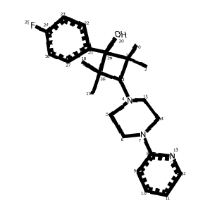 CC1(C)C(N2CCN(c3ccccn3)CC2)C(C)(C)C1(O)c1ccc(F)cc1